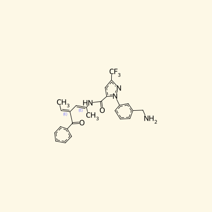 C/C=C(\C=C(/C)NC(=O)c1cc(C(F)(F)F)nn1-c1cccc(CN)c1)C(=O)c1ccccc1